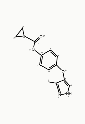 Cc1n[nH]cc1Oc1ccc(OC(=O)C2CC2)cc1